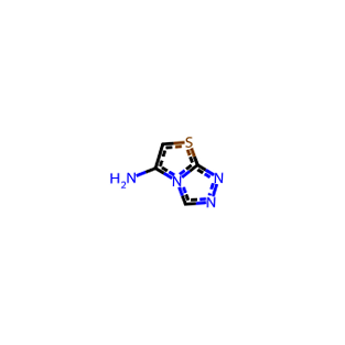 Nc1csc2nncn12